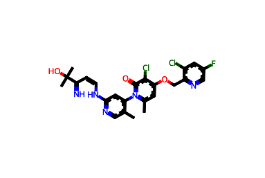 Cc1cnc(N/C=C\C(=N)C(C)(C)O)cc1-n1c(C)cc(OCc2ncc(F)cc2Cl)c(Cl)c1=O